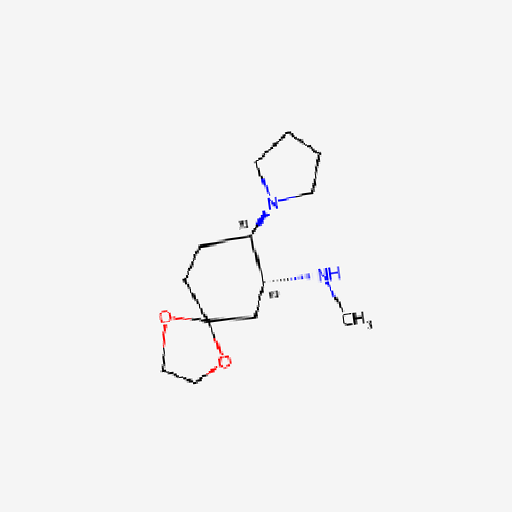 CN[C@@H]1CC2(CC[C@H]1N1CCCC1)OCCO2